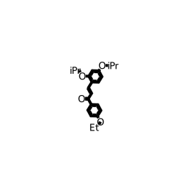 CCOc1ccc(C(=O)/C=C/c2ccc(OC(C)C)cc2OC(C)C)cc1